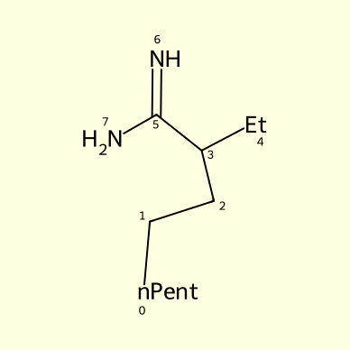 CCCCCCCC(CC)C(=N)N